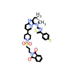 CCc1nc2ccc(C3CCN(S(=O)(=O)CCCN4C(=O)c5ccccc5C4=O)CC3)cn2c1N(C)c1nc(-c2ccc(F)cc2)cs1